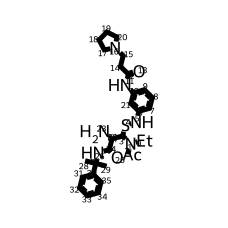 CCN(C(C)=O)C(SNc1cccc(NC(=O)CCN2CCCC2)c1)[C@H](N)C(=O)NC(C)(C)c1ccccc1